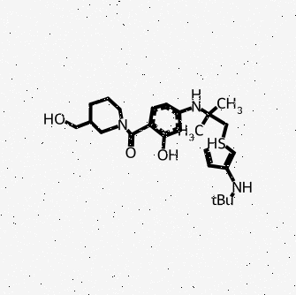 CC(C)(C)NC1=C[SH](CC(C)(C)Nc2ccc(C(=O)N3CCCC(CO)C3)c(O)c2)C=C1